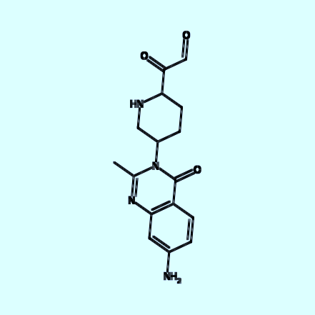 Cc1nc2cc(N)ccc2c(=O)n1C1CCC(C(=O)C=O)NC1